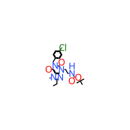 CCc1nc2c(c(=O)n(Cc3ccc(Cl)cc3)c(=O)n2CCNC(=O)OC(C)(C)C)n1C